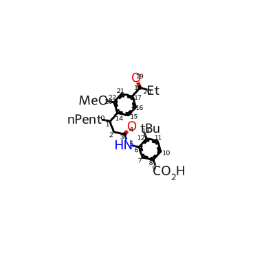 CCCCCC(CC(=O)Nc1cc(C(=O)O)ccc1C(C)(C)C)c1ccc(C(=O)CC)cc1OC